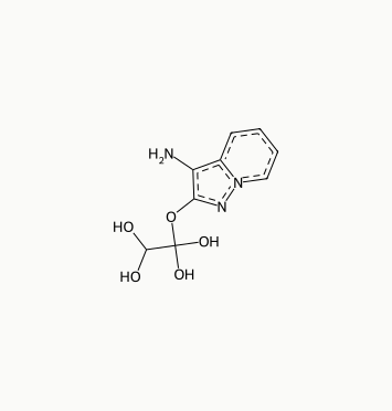 Nc1c(OC(O)(O)C(O)O)nn2ccccc12